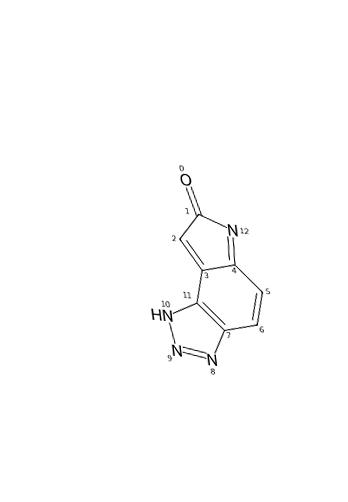 O=C1C=c2c(ccc3nn[nH]c23)=N1